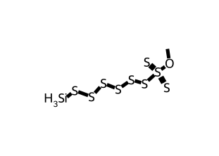 COS(=S)(=S)SSSSSS[SiH3]